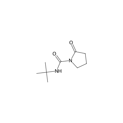 CC(C)(C)NC(=O)N1CCCC1=O